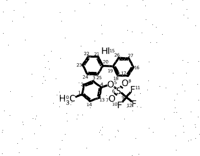 Cc1ccc(OS(=O)(=O)C(F)(F)F)cc1.I.c1ccc(-c2ccccc2)cc1